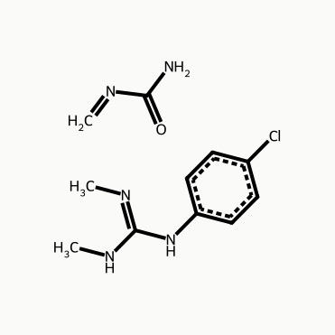 C=NC(N)=O.CN=C(NC)Nc1ccc(Cl)cc1